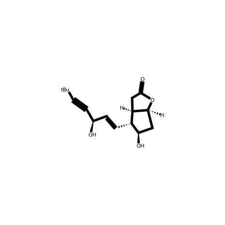 CC(C)(C)C#C[C@H](O)C=C[C@@H]1[C@H]2CC(=O)O[C@H]2C[C@H]1O